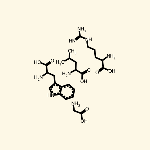 CC(C)CC(N)C(=O)O.N=C(N)NCCCC(N)C(=O)O.NC(Cc1c[nH]c2ccccc12)C(=O)O.NCC(=O)O